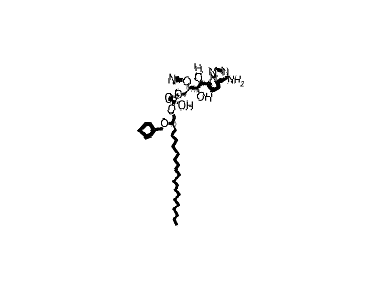 CCCCCCCCCCCCCCCCCCC[C@H](COP(=O)(O)OC[C@@H](OC#N)[C@@H](O)[C@@H](O)c1ccc2c(N)ncnn12)OCc1ccccc1